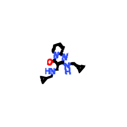 O=c1c(CNCC2CC2)c(NCC2CC2)nc2ccccn12